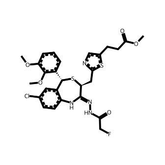 COC(=O)CCc1cnc(C[C@@H]2S[C@@H](c3cccc(OC)c3OC)c3cc(Cl)ccc3N/C2=N\NC(=O)CF)s1